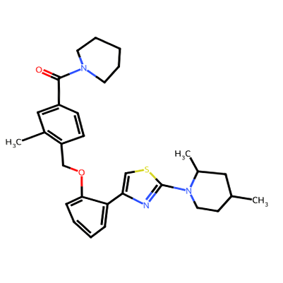 Cc1cc(C(=O)N2CCCCC2)ccc1COc1ccccc1-c1csc(N2CCC(C)CC2C)n1